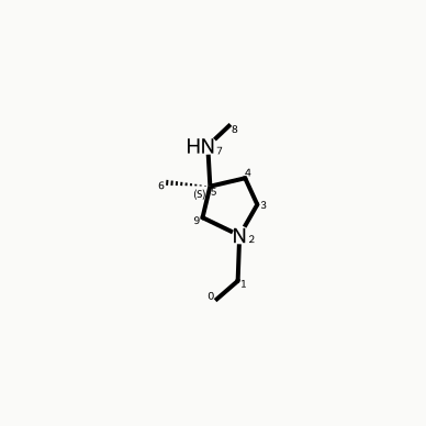 CCN1CC[C@](C)(NC)C1